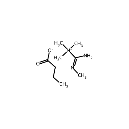 C/N=C(\N)[N+](C)(C)C.CCCC(=O)[O-]